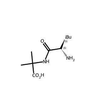 CC[C@H](C)[C@H](N)C(=O)NC(C)(C)C(=O)O